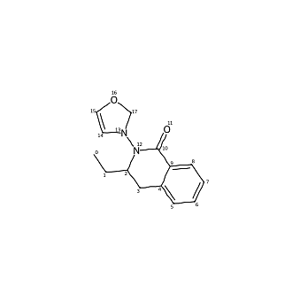 CCC1Cc2ccccc2C(=O)N1N1C=COC1